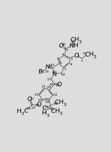 CCOc1cc2c(cc1C(=O)NC)/C(=N/Br)N(CC(=O)c1ccc(OC(C)=O)c(C(C)(C)C)c1)C2